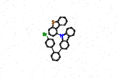 Brc1ccc(-c2ccccc2-c2ccc3c4ccccc4n(-c4cccc5sc6ccccc6c45)c3c2)cc1